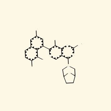 COc1nc(N2CC3CCC(C2)N3)c2cnc(-c3cc(O)cc4ccc(F)c(F)c34)c(C(F)(F)F)c2n1